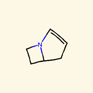 C1=CN2CCC2C1